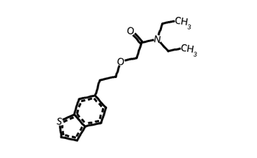 CCN(CC)C(=O)COCCc1ccc2ccsc2c1